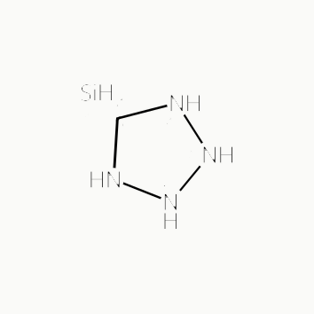 C1NNNN1.[SiH4]